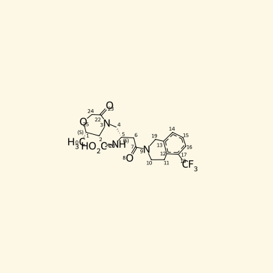 C[C@H]1CN(C[C@H](CC(=O)N2CCc3c(cccc3C(F)(F)F)C2)NC(=O)O)C(=O)CO1